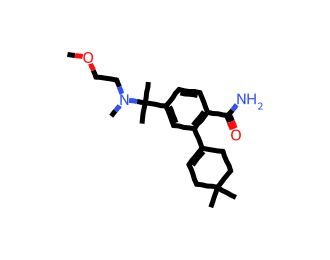 COCCN(C)C(C)(C)c1ccc(C(N)=O)c(C2=CCC(C)(C)CC2)c1